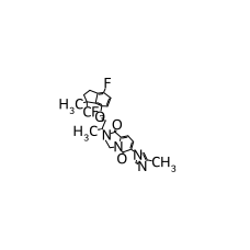 Cc1cn(-c2ccc3n(c2=O)CCN([C@@H](C)COc2ccc(F)c4c2C(C)(C(F)(F)F)CC4)C3=O)cn1